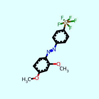 COc1ccc(N=Nc2ccc(S(F)(F)(F)(F)F)cc2)c(OC)c1